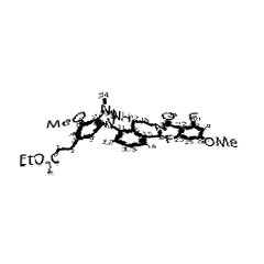 CCOC(=O)CCc1cc(OC)c2c(c1)N(c1cccc3c1CCN(C(=O)c1c(F)cc(OC)cc1F)C3)NN2C